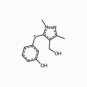 Cc1nn(C)c(Sc2cccc(O)c2)c1CO